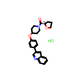 Cl.O=C([C@H]1CCCO1)N1CCC(Oc2ccc(-c3cnc4ccccc4c3)cc2)CC1